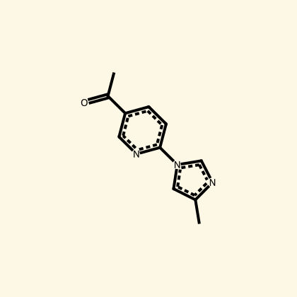 CC(=O)c1ccc(-n2cnc(C)c2)nc1